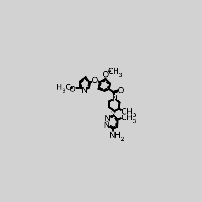 COc1ccc(Oc2ccc(C(=O)N3CC[C@@H](c4nnc(N)cc4C)C(C)C3)cc2OC)cn1